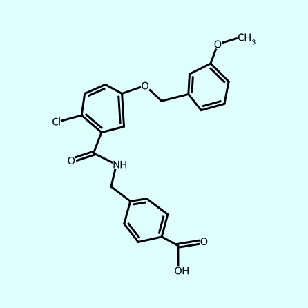 COc1cccc(COc2ccc(Cl)c(C(=O)NCc3ccc(C(=O)O)cc3)c2)c1